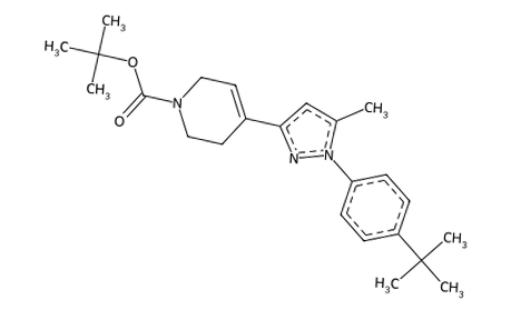 Cc1cc(C2=CCN(C(=O)OC(C)(C)C)CC2)nn1-c1ccc(C(C)(C)C)cc1